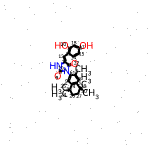 Cc1cc2c(cc1N1C(=O)NC(=Cc3ccc(O)cc3O)C1=O)C(C)(C)CCC2(C)C